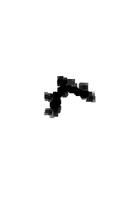 COc1ccc2[nH]cc(CCN(C(C)=O)C(=O)CCCCC(S)CCS)c2c1.[Zn]